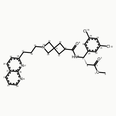 COC(=O)C[C@H](NC(=O)C1CC2(C1)CN(CCCc1ccc3cccnc3n1)C2)c1cc(Cl)cc(Cl)c1